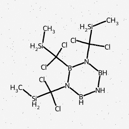 C[SiH2]C(Cl)(Cl)B1N(C(Cl)(Cl)[SiH2]C)BNBN1C(Cl)(Cl)[SiH2]C